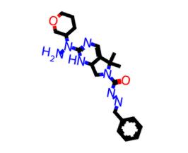 CC1(C)C2=CN=C(N(N)C3CCCOC3)NC2CN1C(=O)N=NCc1ccccc1